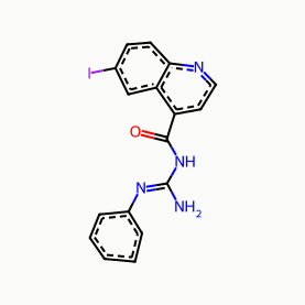 NC(=Nc1ccccc1)NC(=O)c1ccnc2ccc(I)cc12